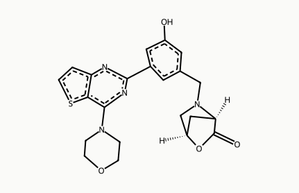 O=C1O[C@@H]2C[C@H]1N(Cc1cc(O)cc(-c3nc(N4CCOCC4)c4sccc4n3)c1)C2